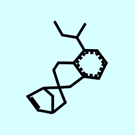 CCC(C)c1cccc2c1CCC1(C2)CC2C=CC1C2